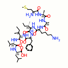 CC[C@H](C)[C@H](NC(=O)[C@H](CCCCN)NC(=O)[C@H](C)NC(=O)[C@H](C)NC(=O)[C@@H](N)CCSC)C(=O)N[C@@H](Cc1ccccc1)C(=O)N[C@H](C(=O)N[C@H](C(=O)N[C@@H](CC(C)C)C(=O)O)C(C)C)[C@@H](C)CC